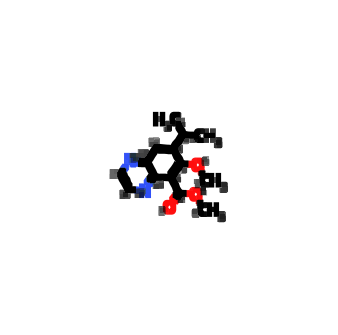 COC(=O)c1c(OC)c(C(C)C)cc2nccnc12